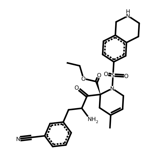 CCOC(=O)[C@]1(C(=O)C(N)Cc2cccc(C#N)c2)CC(C)=CCN1S(=O)(=O)c1ccc2c(c1)CCNC2